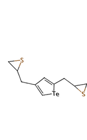 c1[te]c(CC2CS2)cc1CC1CS1